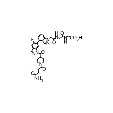 NC(=O)CCC(=O)N1CCC(C(=O)n2ncc3cc(F)c(-c4cccc5c4cnn5CC(=O)NCC(=O)NCC(=O)O)cc32)CC1